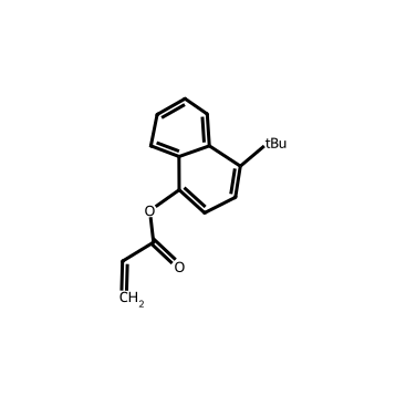 C=CC(=O)Oc1ccc(C(C)(C)C)c2ccccc12